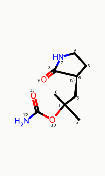 CC(C)(C[C@@H]1CCNC1=O)OC(N)=O